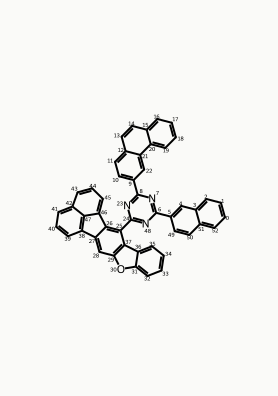 c1ccc2cc(-c3nc(-c4ccc5ccc6ccccc6c5c4)nc(-c4c5c(cc6oc7ccccc7c46)-c4cccc6cccc-5c46)n3)ccc2c1